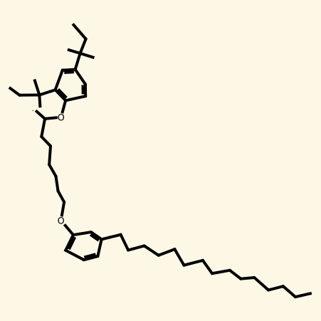 [CH2]C(CCCCCCOc1cccc(CCCCCCCCCCCCCCC)c1)Oc1ccc(C(C)(C)CC)cc1C(C)(C)CC